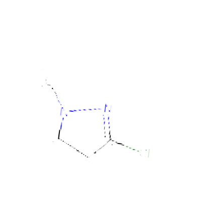 CN1CCC(Cl)=N1